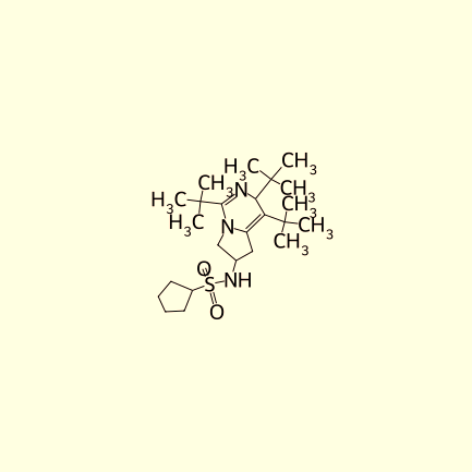 CC(C)(C)C1=NC(C(C)(C)C)C(C(C)(C)C)=C2CC(NS(=O)(=O)C3CCCC3)CN12